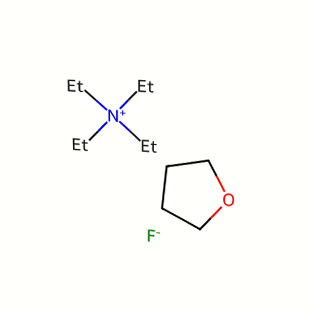 C1CCOC1.CC[N+](CC)(CC)CC.[F-]